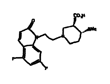 CN[C@@H]1CCN(CCn2c(=O)ccc3c(F)cc(F)cc32)C[C@H]1C(=O)O